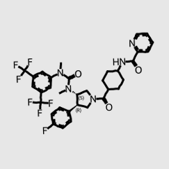 CN(C(=O)N(C)[C@@H]1CN(C(=O)C2CCC(NC(=O)c3ccccn3)CC2)C[C@H]1c1ccc(F)cc1)c1cc(C(F)(F)F)cc(C(F)(F)F)c1